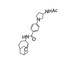 CC(=O)NC1CCN(c2ccc(C(=O)NC3CCC4CC5CC(C4)C3C5)cc2)C1